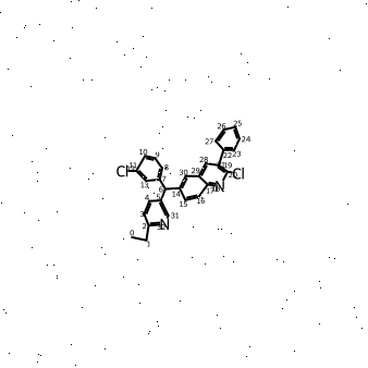 CCc1ccc(C(c2cccc(Cl)c2)c2ccc3nc(Cl)c(-c4ccccc4)cc3c2)cn1